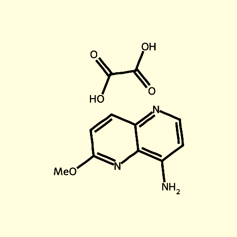 COc1ccc2nccc(N)c2n1.O=C(O)C(=O)O